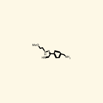 COCCN/N=C(\C=N)c1ccc(CN)cc1